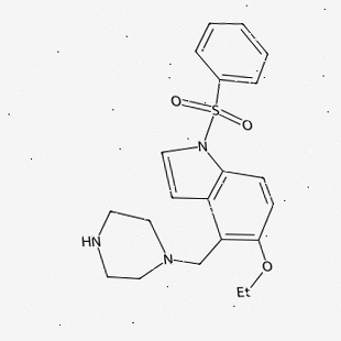 CCOc1ccc2c(ccn2S(=O)(=O)c2ccccc2)c1CN1CCNCC1